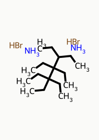 Br.Br.CCC(CC)C(CC)(CC)C(CC)(CC)CC.N.N